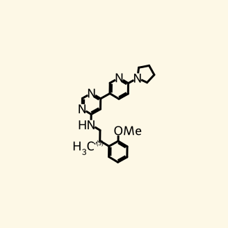 COc1ccccc1[C@H](C)CNc1cc(-c2ccc(N3CCCC3)nc2)ncn1